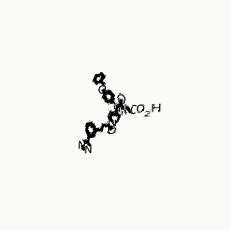 O=C(O)CCNC(=O)[C@H](c1ccc(OCc2ccccc2)cc1)C1CCN(C(=O)CCc2cccc(-c3cncnc3)c2)CC1